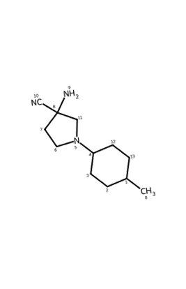 CC1CCC(N2CCC(N)(C#N)C2)CC1